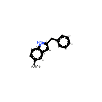 COc1ccc2[nH]c(Cc3ccccc3)cc2c1